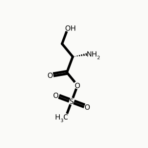 CS(=O)(=O)OC(=O)[C@@H](N)CO